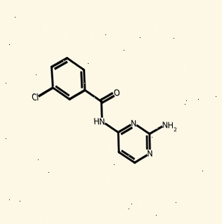 Nc1nccc(NC(=O)c2cccc(Cl)c2)n1